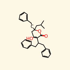 CC(C)CC1(CCc2ccccc2)CC(O)=C(C(Cc2ccccc2)Cc2ccccc2)C(=O)O1